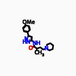 COc1ccc(-c2cc(NC(=O)C(C)CCN3CCCCC3)[nH]n2)cc1